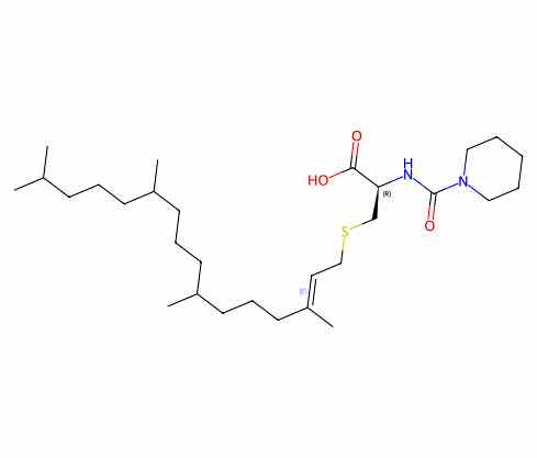 C/C(=C\CSC[C@H](NC(=O)N1CCCCC1)C(=O)O)CCCC(C)CCCC(C)CCCC(C)C